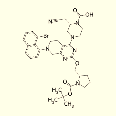 CC(C)(C)OC(=O)N1CCC[C@H]1COc1nc2c(c(N3CCN(C(=O)O)[C@@H](CC#N)C3)n1)CCN(c1cccc3cccc(Br)c13)C2